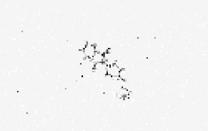 O=C(O)CCCc1ccc(N2C(=O)c3ccccc3C2=O)cc1